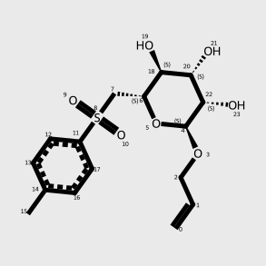 C=CCO[C@H]1O[C@H](CS(=O)(=O)c2ccc(C)cc2)[C@@H](O)[C@H](O)[C@@H]1O